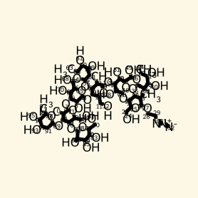 CC1[C@H](O[C@@H]2C(O)[C@H](O[C@@H]3C(CO)O[C@@H](O[C@@H]4C(O)[C@H](O[C@@H]5C(CO)O[C@@H](OCCN=[N+]=[N-])C(C)[C@H]5OC5C[C@@H](O)C(O)[C@H](C)O5)OC(CO)[C@@H]4O)C(C)[C@H]3OC3C[C@@H](O)C(O)[C@H](C)O3)OC(CO)[C@@H]2O)OC(CO)[C@@H](O[C@@H]2OC(CO)[C@H](O)[C@H](O)C2O)[C@@H]1OC1CC(O)[C@H](O)[C@H](C)O1